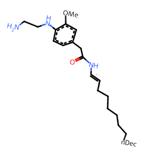 CCCCCCCCCCCCCCCC/C=C/NC(=O)Cc1ccc(NCCN)c(OC)c1